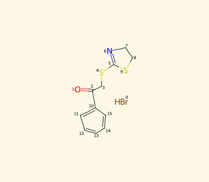 Br.O=C(CSC1=NCCS1)c1ccccc1